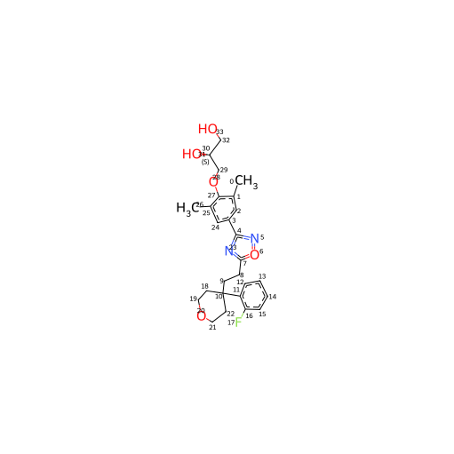 Cc1cc(-c2noc(CCC3(c4ccccc4F)CCOCC3)n2)cc(C)c1OC[C@@H](O)CO